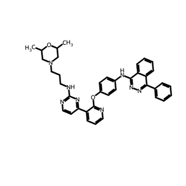 CC1CN(CCCNc2nccc(-c3cccnc3Oc3ccc(Nc4nnc(-c5ccccc5)c5ccccc45)cc3)n2)CC(C)O1